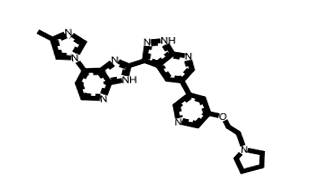 Cc1cn(-c2ccnc3[nH]c(-c4n[nH]c5ncc(-c6cncc(OCCN7CCCC7)c6)cc45)nc23)cn1